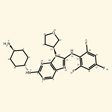 N[C@H]1CC[C@H](Nc2ncc3nc(Nc4c(F)cc(F)cc4F)n([C@H]4CCOC4)c3n2)CC1